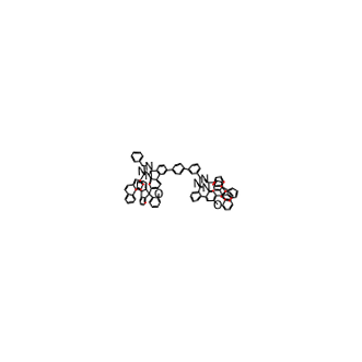 c1ccc(-c2cccc(-c3nc(-c4cccc(-c5ccc(-c6ccc(-c7nc(-c8ccccc8)nc(-c8ccc9c(ccc%10ccccc%109)c8)n7)c(-c7ccc8c(c7)Oc7ccccc7C87c8ccccc8-c8ccccc87)c6)cc5)c4)nc(-c4ccccc4-c4ccc5c(c4)Oc4ccccc4C54c5ccccc5-c5ccccc54)n3)c2)cc1